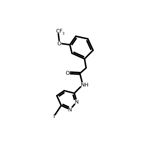 O=C(Cc1cccc(OC(F)(F)F)c1)Nc1ccc(I)nn1